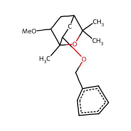 COC1CC2CC(OCc3ccccc3)C1(C)OC2(C)C